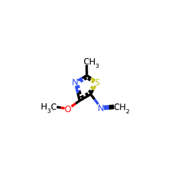 C=Nc1sc(C)nc1OC